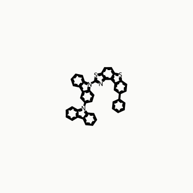 c1ccc(-c2ccc3sc4ccc5sc(-n6c7ccccc7c7cc(-n8c9ccccc9c9ccccc98)ccc76)nc5c4c3c2)cc1